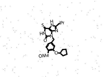 COc1ccc(Cn2c(=O)[nH]c(=S)c3[nH]c(C(C)C)nc32)cc1OC1CCCC1